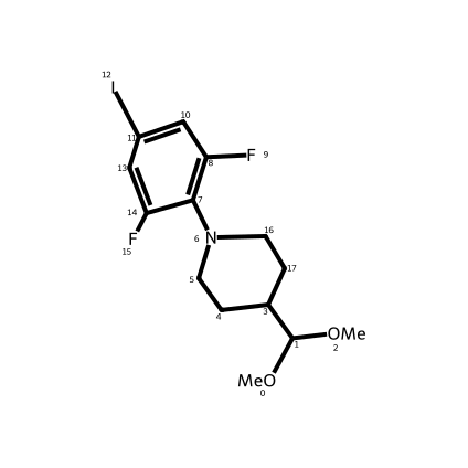 COC(OC)C1CCN(c2c(F)cc(I)cc2F)CC1